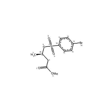 COC(=O)C[C@@H](C)OS(=O)(=O)c1ccc(Br)cc1